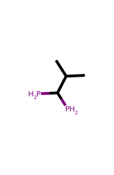 CC(C)C(P)P